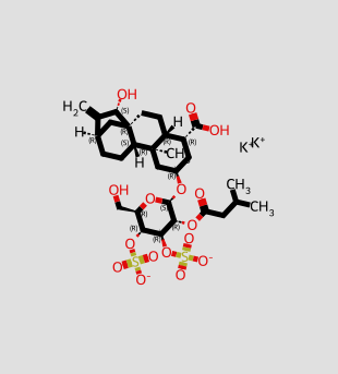 C=C1[C@@H]2CC[C@H]3[C@]4(C)C[C@H](O[C@H]5O[C@H](CO)[C@@H](OS(=O)(=O)[O-])[C@H](OS(=O)(=O)[O-])[C@H]5OC(=O)CC(C)C)C[C@@H](C(=O)O)[C@H]4CC[C@]3(C2)[C@H]1O.[K+].[K+]